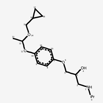 CC(C)NCC(O)COc1ccc(OC(C)OCC2CC2)cc1